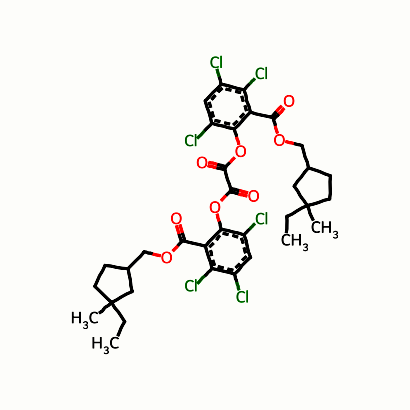 CCC1(C)CCC(COC(=O)c2c(Cl)c(Cl)cc(Cl)c2OC(=O)C(=O)Oc2c(Cl)cc(Cl)c(Cl)c2C(=O)OCC2CCC(C)(CC)C2)C1